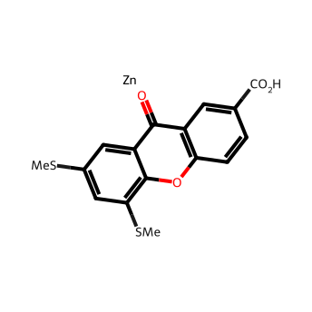 CSc1cc(SC)c2oc3ccc(C(=O)O)cc3c(=O)c2c1.[Zn]